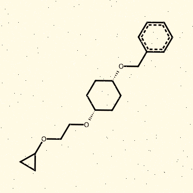 c1ccc(CO[C@H]2CC[C@@H](OCCOC3CC3)CC2)cc1